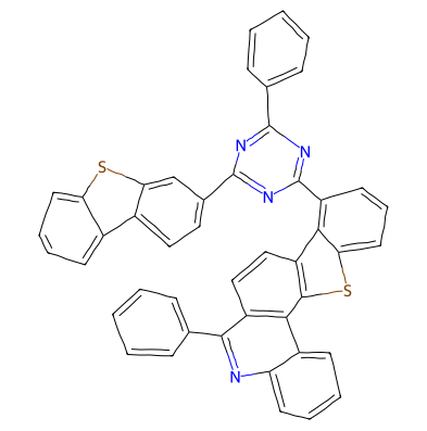 c1ccc(-c2nc(-c3ccc4c(c3)sc3ccccc34)nc(-c3cccc4sc5c(ccc6c(-c7ccccc7)nc7ccccc7c65)c34)n2)cc1